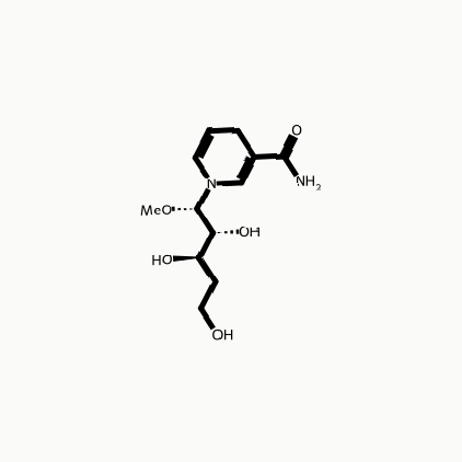 CO[C@@H]([C@H](O)[C@H](O)CCO)N1C=CCC(C(N)=O)=C1